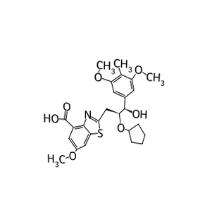 COc1cc(C(=O)O)c2nc(C[C@H](OC3CCCC3)[C@H](O)c3cc(OC)c(C)c(OC)c3)sc2c1